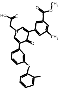 COC(=O)c1cc(C)cc(-c2cn(CC(=O)O)cc(-c3cccc(Sc4ccccc4I)c3)c2=O)c1